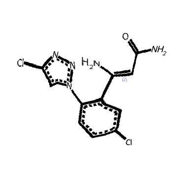 NC(=O)/C=C(\N)c1cc(Cl)ccc1-n1cc(Cl)nn1